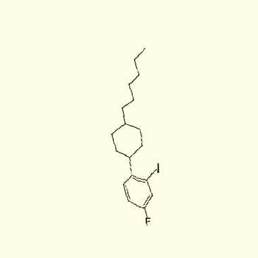 CCCCCCC1CCC(c2ccc(F)cc2I)CC1